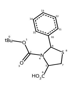 CC(C)(C)OC(=O)N1C(C(=O)O)CSC1c1ccccc1